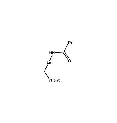 CCCCC[CH2][La][NH]C(=O)C(C)C